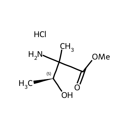 COC(=O)C(C)(N)[C@H](C)O.Cl